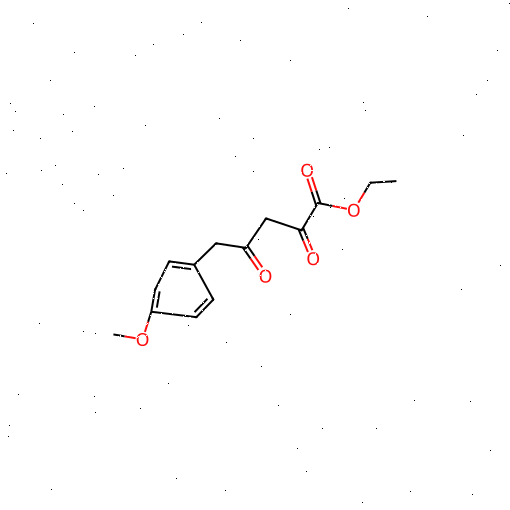 CCOC(=O)C(=O)CC(=O)Cc1ccc(OC)cc1